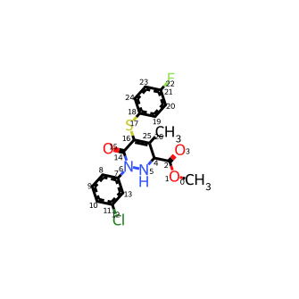 COC(=O)C1NN(c2cccc(Cl)c2)C(=O)C(Sc2ccc(F)cc2)=C1C